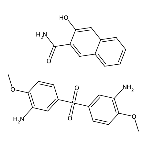 COc1ccc(S(=O)(=O)c2ccc(OC)c(N)c2)cc1N.NC(=O)c1cc2ccccc2cc1O